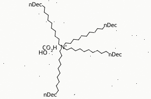 CCCCCCCCCCCCCCCCCCCC[N+](CCCCCCCCCCCCCCCCCCCC)(CCCCCCCCCCCCCCCCCCCC)CCCCCCCCCCCCCCCCCCCC.O=C(O)O